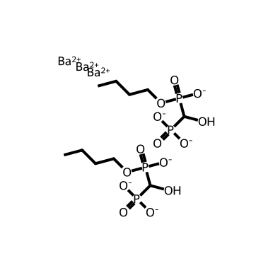 CCCCOP(=O)([O-])C(O)P(=O)([O-])[O-].CCCCOP(=O)([O-])C(O)P(=O)([O-])[O-].[Ba+2].[Ba+2].[Ba+2]